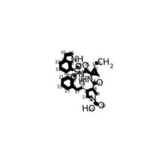 C=C[C@@H]1C[C@]1(NC(=O)[C@H]1CN(C(=O)O)C[C@@H]1CCc1ccccc1)C(=O)NS(=O)(=O)c1cccc2cc[nH]c12